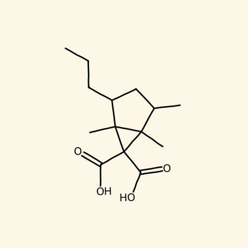 CCCC1CC(C)C2(C)C(C(=O)O)(C(=O)O)C12C